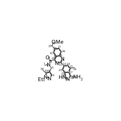 CCn1ncc(CN(C)C(=O)c2nc(-c3cc(C)c4c(N)n[nH]c4c3)nc3ccc(COC)cc23)c1C